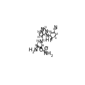 N#Cc1ccc(F)c(Nc2ncnn3ccc(CN4CC[C@@H](N)[C@H](OC(N)=O)C4)c23)c1